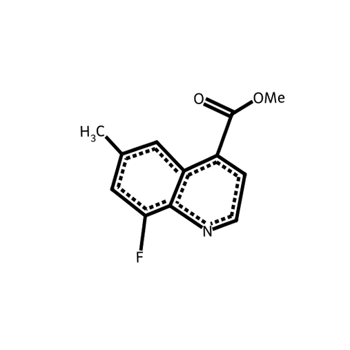 COC(=O)c1ccnc2c(F)cc(C)cc12